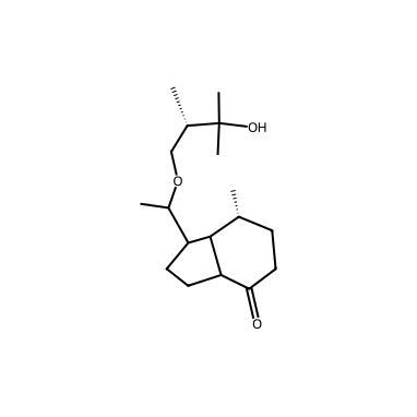 CC(OC[C@H](C)C(C)(C)O)C1CCC2C(=O)CC[C@@H](C)C21